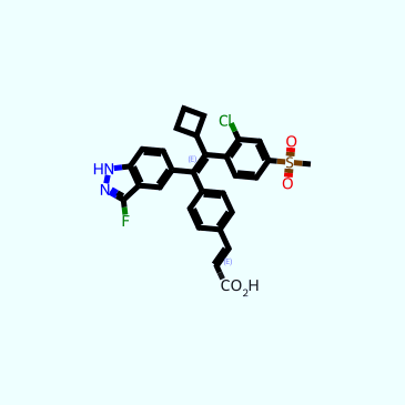 CS(=O)(=O)c1ccc(/C(=C(\c2ccc(/C=C/C(=O)O)cc2)c2ccc3[nH]nc(F)c3c2)C2CCC2)c(Cl)c1